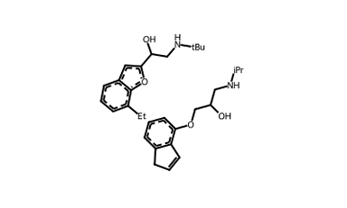 CC(C)NCC(O)COc1cccc2c1C=CC2.CCc1cccc2cc(C(O)CNC(C)(C)C)oc12